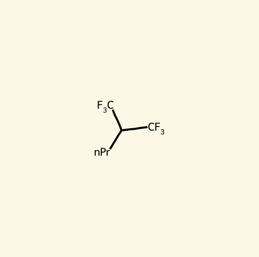 CCCC(C(F)(F)F)C(F)(F)F